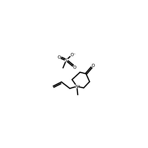 C=CC[N+]1(C)CCC(=O)CC1.CS(=O)(=O)[O-]